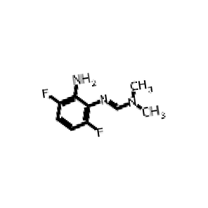 CN(C)/C=N/c1c(F)ccc(F)c1N